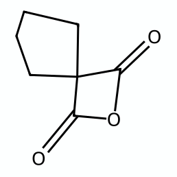 O=C1OC(=O)C12CCCC2